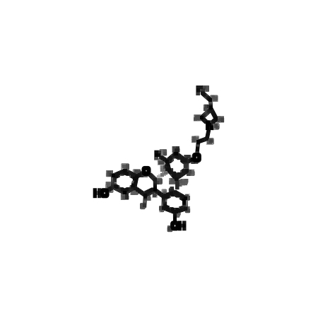 CC1=C(c2cccc(O)c2)[C@@H](c2c(F)cc(OCCN3CC(CF)C3)cc2F)Oc2ccc(O)cc21